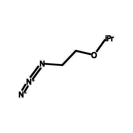 CC(C)OCCN=[N+]=[N-]